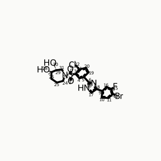 O=S(=O)(c1cc(-c2nc(-c3ccc(Br)c(F)c3)c[nH]2)ccc1Cl)N1CCC[C@H](O)[C@H](O)C1